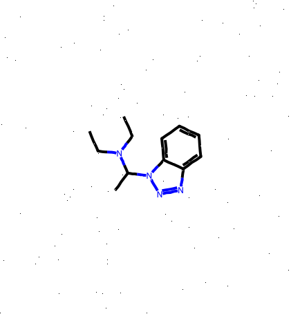 CCN(CC)C(C)n1nnc2ccccc21